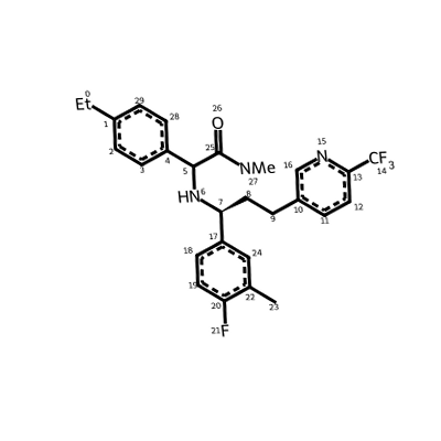 CCc1ccc(C(N[C@@H](CCc2ccc(C(F)(F)F)nc2)c2ccc(F)c(C)c2)C(=O)NC)cc1